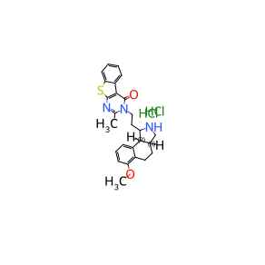 COc1cccc2c1CC[C@H]1CNC(CCn3c(C)nc4sc5ccccc5c4c3=O)[C@@H]21.Cl.Cl